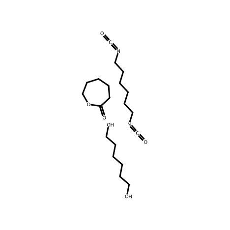 O=C1CCCCCO1.O=C=NCCCCCCN=C=O.OCCCCCCO